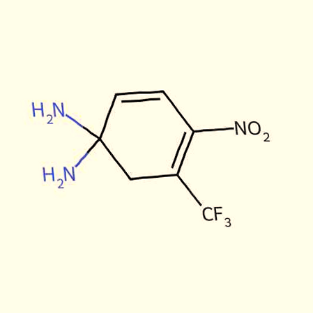 NC1(N)C=CC([N+](=O)[O-])=C(C(F)(F)F)C1